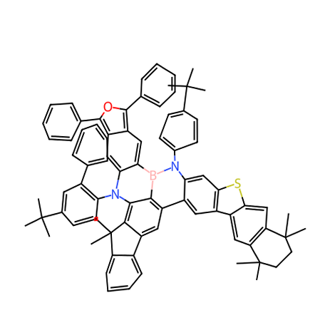 CC(C)(C)c1ccc(N2B3c4cc5c(-c6ccccc6)oc(-c6ccccc6)c5cc4N(c4ccc(C(C)(C)C)cc4-c4ccccc4)c4c3c(cc3c4C(C)(C)c4ccccc4-3)-c3cc4c(cc32)sc2cc3c(cc24)C(C)(C)CCC3(C)C)cc1